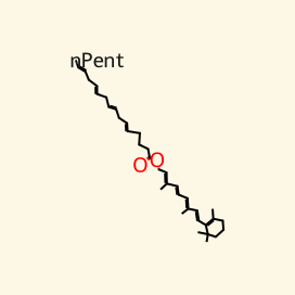 CCCCCC=CCC=CCC=CCC=CCCCC(=O)OC/C=C(C)/C=C/C=C(C)/C=C/C1=C(C)CCCC1(C)C